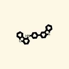 c1ccc2c(c1)oc1cccc(Nc3ccc(-c4ccc5sc6ccccc6c5c4)cc3)c12